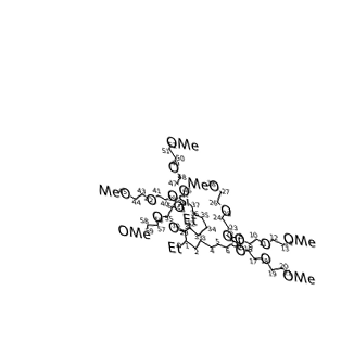 CCC(CCCCC[Si](OCCOCCOC)(OCCOCCOC)OCCOCCOC)C(=O)C(CC)CCCCC[Si](OCCOCCOC)(OCCOCCOC)OCCOCCOC